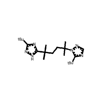 CC(C)(C)c1n[nH]c(C(C)(C)CCC(C)(C)n2ncnc2C(C)(C)C)n1